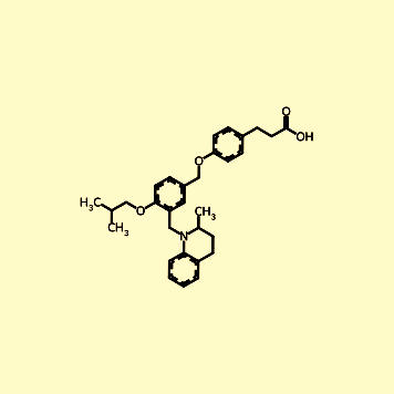 CC(C)COc1ccc(COc2ccc(CCC(=O)O)cc2)cc1CN1c2ccccc2CCC1C